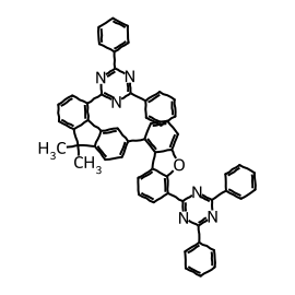 CC1(C)c2ccc(-c3cccc4oc5c(-c6nc(-c7ccccc7)nc(-c7ccccc7)n6)cccc5c34)cc2-c2c(-c3nc(-c4ccccc4)nc(-c4ccccc4)n3)cccc21